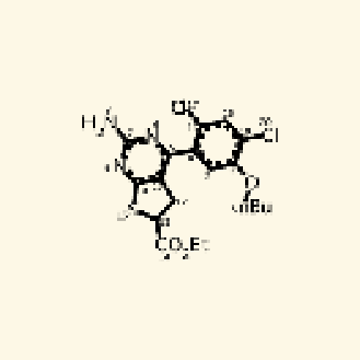 CCCCOc1cc(-c2nc(N)nc3c2CC(C(=O)OCC)S3)c(Cl)cc1Cl